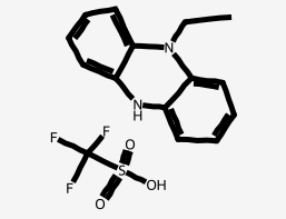 CCN1c2ccccc2Nc2ccccc21.O=S(=O)(O)C(F)(F)F